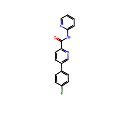 O=C(Nc1ccccn1)c1ccc(-c2ccc(F)cc2)cn1